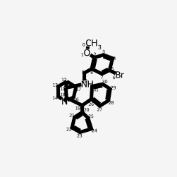 COc1ccc(Br)cc1CNC1C2CCN(CC2)C1C(c1ccccc1)c1ccccc1